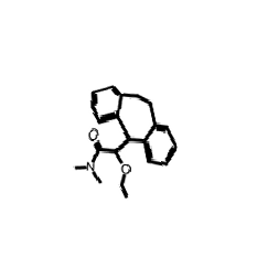 CCOC(C(=O)N(C)C)C1c2ccccc2CCc2ccccc21